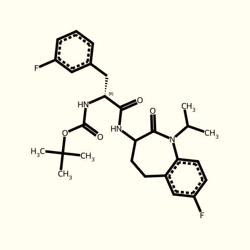 CC(C)N1C(=O)C(NC(=O)[C@@H](Cc2cccc(F)c2)NC(=O)OC(C)(C)C)CCc2cc(F)ccc21